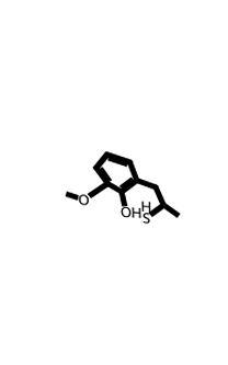 COc1cccc(CC(C)S)c1O